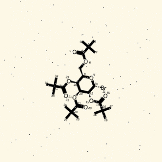 CC(C)(C)C(=O)OC[C@H]1O[C@H](Br)[C@H](OC(=O)C(C)(C)C)[C@@H](OC(=O)C(C)(C)C)[C@H]1OC(=O)C(C)(C)C